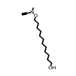 C#CN(C)OCCCCCCCCCCCCO